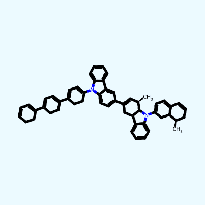 C[C@@H]1C=C(c2ccc3c(c2)c2ccccc2n3C2=CC=C(C3=CC=C(C4=CC=CCC4)CC3)CC2)CC2c3ccccc3N(C3=CC=C4C=CC[C@@H](C)C4C3)C21